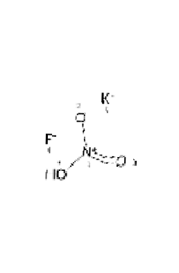 O=[N+]([O-])O.[F-].[K+]